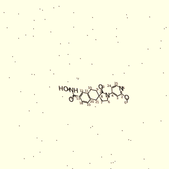 COc1cc(N2CC[C@@]3(CCc4cc(C(=O)NO)ccc4C3)C2=O)ccn1